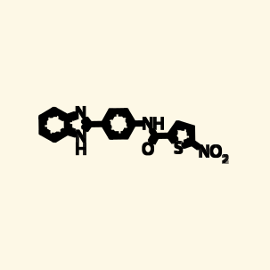 O=C(Nc1ccc(-c2nc3ccccc3[nH]2)cc1)c1ccc([N+](=O)[O-])s1